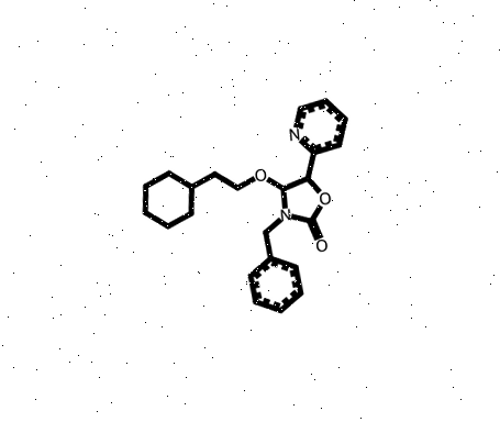 O=C1OC(c2ccccn2)C(OCCC2CCCCC2)N1Cc1ccccc1